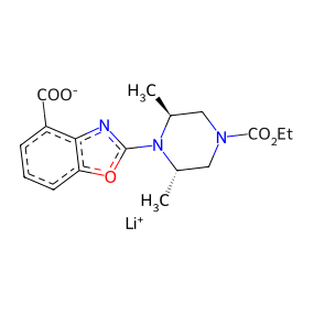 CCOC(=O)N1C[C@H](C)N(c2nc3c(C(=O)[O-])cccc3o2)[C@@H](C)C1.[Li+]